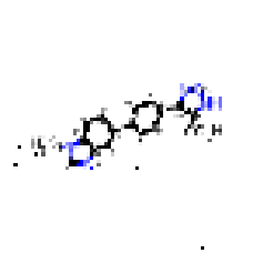 Cn1cnc2cc(-c3ccc(-c4nn[nH]c4C(=O)O)cc3)ccc21